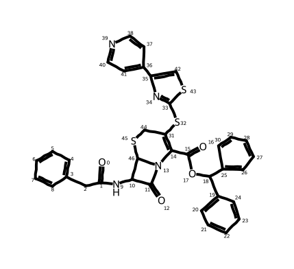 O=C(Cc1ccccc1)NC1C(=O)N2C(C(=O)OC(c3ccccc3)c3ccccc3)=C(Sc3nc(-c4ccncc4)cs3)CSC12